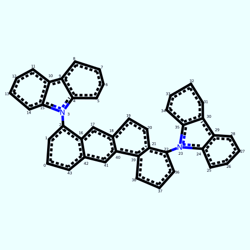 c1cc(-n2c3ccccc3c3ccccc32)c2cc3ccc4c(-n5c6ccccc6c6ccccc65)cccc4c3cc2c1